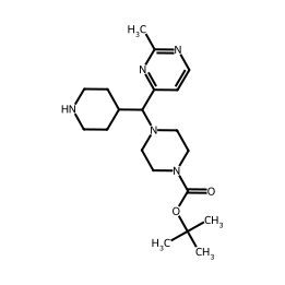 Cc1nccc(C(C2CCNCC2)N2CCN(C(=O)OC(C)(C)C)CC2)n1